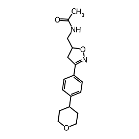 CC(=O)NCC1CC(c2ccc(C3CCOCC3)cc2)=NO1